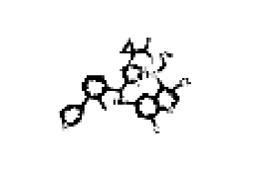 Cc1c(-c2ccncc2)cccc1C(Nc1cc(Cl)c2ncc(C#N)c(NCC(C)(C)C)c2c1)c1cn(C2(C(F)F)CC2)nn1